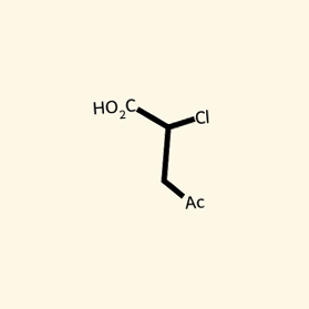 CC(=O)CC(Cl)C(=O)O